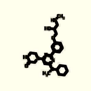 CNCC(O)COc1cccc(-c2nc(N3CCNC(=O)C3)cc(N(C)C3CCCCC3)n2)c1